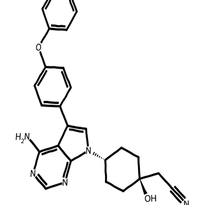 N#CC[C@]1(O)CC[C@H](n2cc(-c3ccc(Oc4ccccc4)cc3)c3c(N)ncnc32)CC1